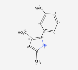 COc1cccc(-c2[nH]c(C)cc2C(=O)O)c1